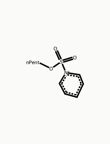 CCCCCOS(=O)(=O)[n+]1ccccc1